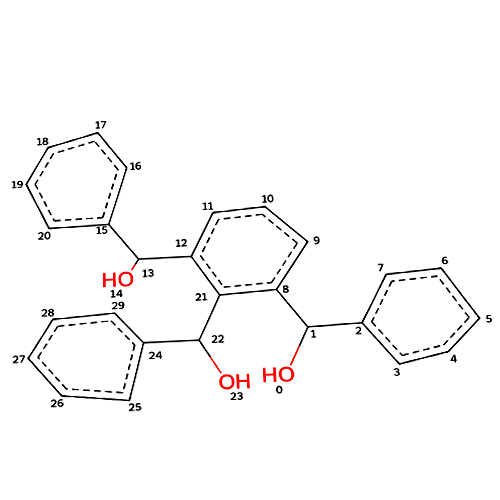 OC(c1ccccc1)c1cccc(C(O)c2ccccc2)c1C(O)c1ccccc1